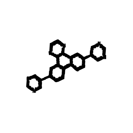 c1ncc(-c2ccc3c4ccc(-c5cncnc5)cc4c4nccnc4c3c2)cn1